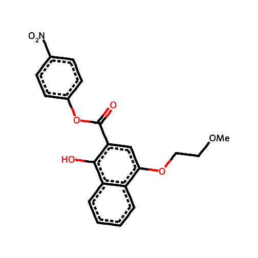 COCCOc1cc(C(=O)Oc2ccc([N+](=O)[O-])cc2)c(O)c2ccccc12